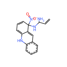 C=CC(N)NC1([N+](=O)[O-])C=CC=C2Nc3ccccc3C=C21